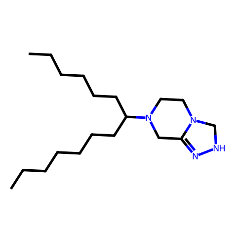 CCCCCCCC(CCCCCC)N1CCN2CNN=C2C1